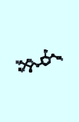 COc1ccc(OCC(=O)C(C)(C)C)cc1Br